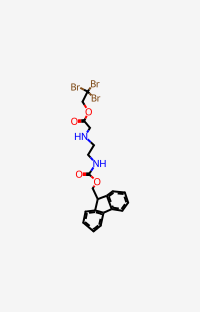 O=C(CNCCNC(=O)OCC1c2ccccc2-c2ccccc21)OCC(Br)(Br)Br